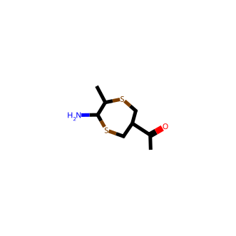 CC(=O)C1CSC(C)C(N)SC1